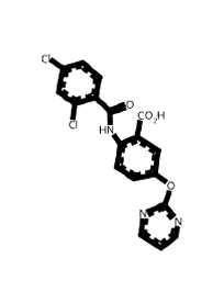 O=C(Nc1ccc(Oc2ncccn2)cc1C(=O)O)c1ccc(Cl)cc1Cl